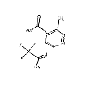 Cc1cnccc1C(=O)O.O=C(O)C(F)(F)F